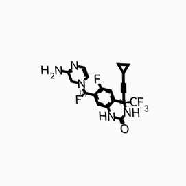 NC1=NC=CN([C@H](F)c2cc3c(cc2F)[C@@](C#CC2CC2)(C(F)(F)F)NC(=O)N3)C1